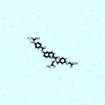 N=C(N)Nc1ccc(C(=O)Oc2ccc3nc(C(=O)N(CC(=O)O)Cc4cccc(OCC(=O)O)c4)ccc3c2)cc1